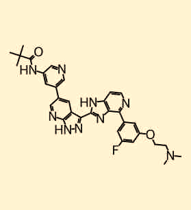 CN(C)CCOc1cc(F)cc(-c2nccc3[nH]c(-c4n[nH]c5ncc(-c6cncc(NC(=O)C(C)(C)C)c6)cc45)nc23)c1